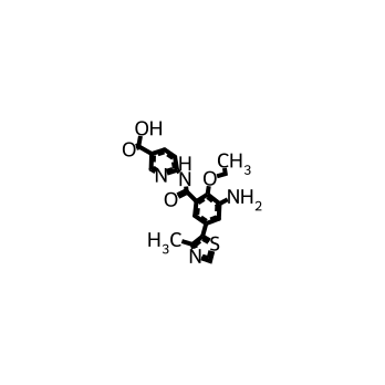 CCOc1c(N)cc(-c2scnc2C)cc1C(=O)Nc1ccc(C(=O)O)cn1